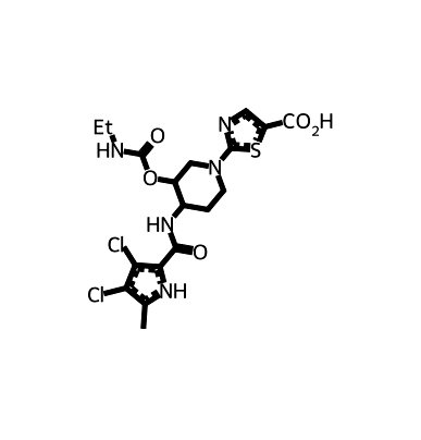 CCNC(=O)OC1CN(c2ncc(C(=O)O)s2)CCC1NC(=O)c1[nH]c(C)c(Cl)c1Cl